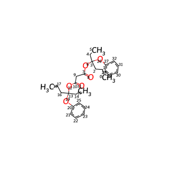 CCCC(CC)(OC(=O)CC(=O)OC(CC)(CCC)Oc1ccccc1)Oc1ccccc1